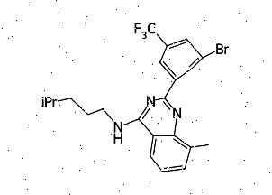 Cc1cccc2c(NCCCC(C)C)nc(-c3cc(Br)cc(C(F)(F)F)c3)nc12